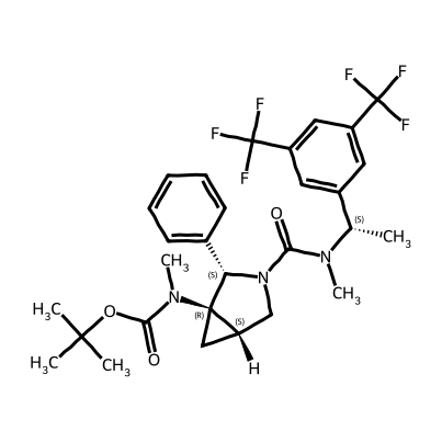 C[C@@H](c1cc(C(F)(F)F)cc(C(F)(F)F)c1)N(C)C(=O)N1C[C@@H]2C[C@]2(N(C)C(=O)OC(C)(C)C)[C@@H]1c1ccccc1